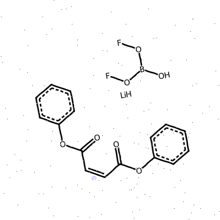 O=C(/C=C\C(=O)Oc1ccccc1)Oc1ccccc1.OB(OF)OF.[LiH]